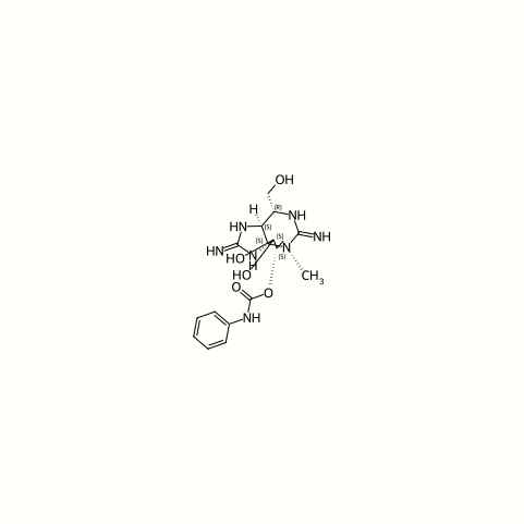 C[C@H]1[C@H](OC(=O)Nc2ccccc2)C(O)(O)[C@]23NC(=N)N[C@H]2[C@H](CO)NC(=N)N13